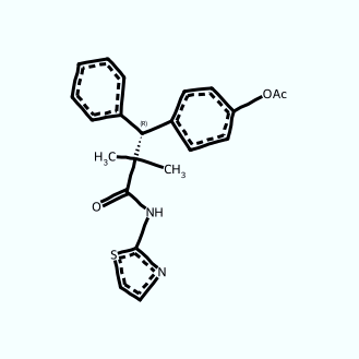 CC(=O)Oc1ccc([C@@H](c2ccccc2)C(C)(C)C(=O)Nc2nccs2)cc1